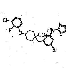 O=C(O)C1(Cc2cc(Br)cc(Nc3nccs3)n2)CCC(Oc2cccc(Cl)c2F)CC1